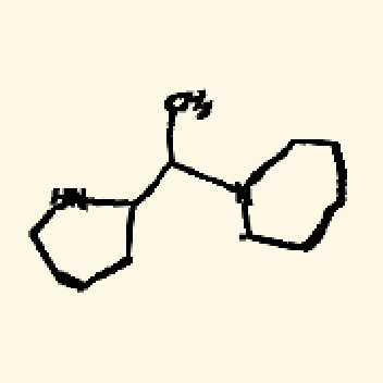 CC(C1CCCN1)N1[CH]CCCC1